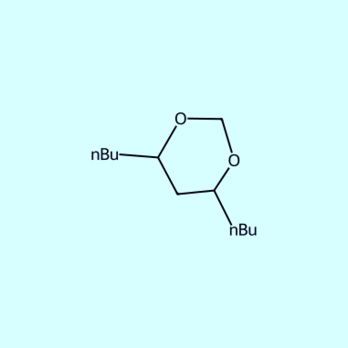 CCCCC1CC(CCCC)OCO1